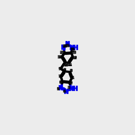 c1cc2[nH]nnc2cc1Cc1ccc2[nH]nnc2c1